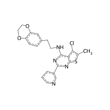 Cc1sc2nc(-c3cccnc3)nc(NCCc3ccc4c(c3)OCCO4)c2c1Cl